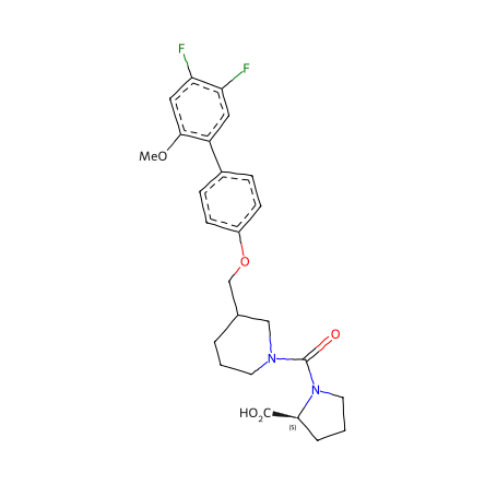 COc1cc(F)c(F)cc1-c1ccc(OCC2CCCN(C(=O)N3CCC[C@H]3C(=O)O)C2)cc1